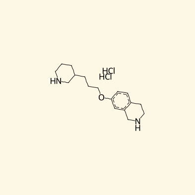 Cl.Cl.c1cc2c(cc1OCCCC1CCCNC1)CNCC2